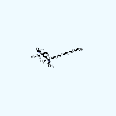 C=C/C=C(/OCCOCCOCCOCCOCCO)N(C)C1CC(N(C(=O)OC(C)(C)C)/C(=C/CC)CC)=CC=N1